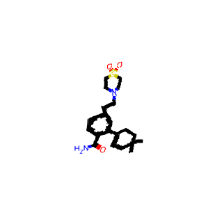 CC1(C)CC=C(c2cc(CCN3CCS(=O)(=O)CC3)ccc2C(N)=O)CC1